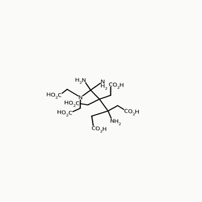 NC(CC(=O)O)(CC(=O)O)C(CC(=O)O)(CC(=O)O)C(N)(N)N(CC(=O)O)CC(=O)O